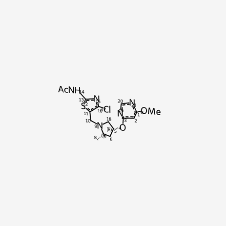 COc1cc(O[C@@H]2C[C@H](C)N(Cc3sc(NC(C)=O)nc3Cl)C2)ncn1